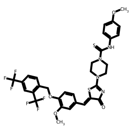 COc1ccc(NC(=S)N2CCN(C3=NC(=O)C(=Cc4ccc(OCc5ccc(C(F)(F)F)cc5C(F)(F)F)c(OC)c4)S3)CC2)cc1